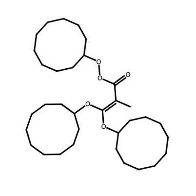 CC(C(=O)OOC1CCCCCCCCC1)=C(OC1CCCCCCCCC1)OC1CCCCCCCCC1